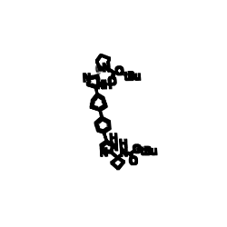 CC(C)(C)OC(=O)NC1(c2ncc(-c3ccc(-c4ccc(-c5cnc([C@@H]6CCCN6C(=O)OC(C)(C)C)[nH]5)cc4)cc3)[nH]2)CCC1